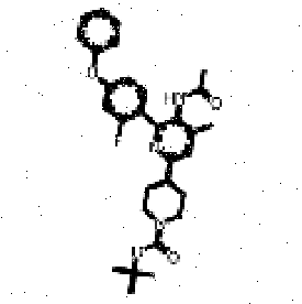 CC(=O)Nc1c(C)cc(C2CCN(C(=O)OC(C)(C)C)CC2)nc1-c1ccc(Oc2ccccc2)cc1F